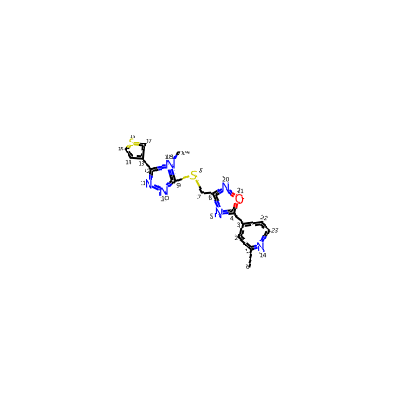 Cc1cc(-c2nc(CSc3nnc(-c4ccsc4)n3C)no2)ccn1